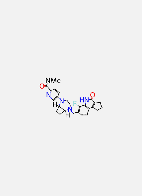 CNC(=O)c1ccc(N2CCN(Cc3ccc4c5c(c(=O)[nH]c4c3F)CCC5)[C@@H]3CC[C@@H]32)cn1